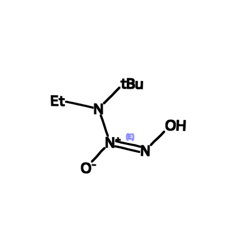 CCN(/[N+]([O-])=N\O)C(C)(C)C